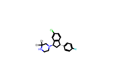 CCC1(CC)CN([C@@H]2C[C@@H](c3ccc(F)cc3)c3ccc(Cl)cc32)CCN1